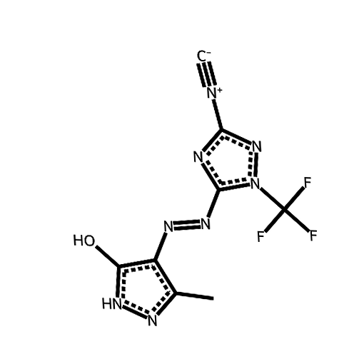 [C-]#[N+]c1nc(N=Nc2c(C)n[nH]c2O)n(C(F)(F)F)n1